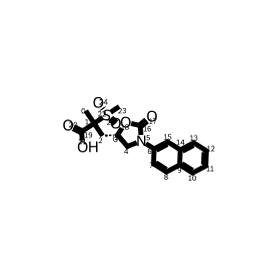 CC(C[C@H]1CN(c2ccc3ccccc3c2)C(=O)O1)(C(=O)O)S(C)(=O)=O